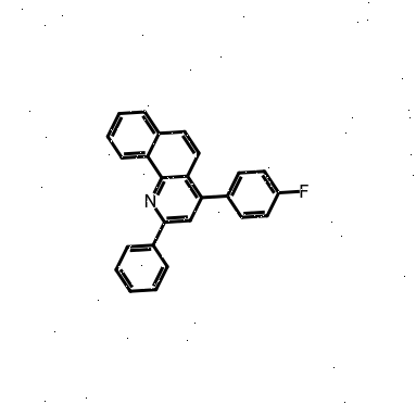 Fc1ccc(-c2cc(-c3ccccc3)nc3c2ccc2ccccc23)cc1